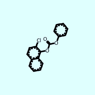 O=C(Oc1ccccc1)Oc1c(Cl)ccc2ccccc12